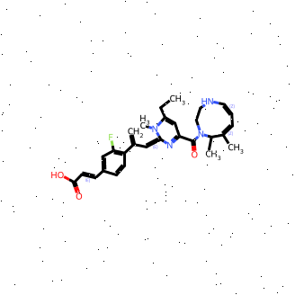 C=C(/C=C1/N=C(C(=O)N2CCN/C=C\C=C(\C)C2C)C=C(CC)N1C)c1ccc(/C=C/C(=O)O)cc1F